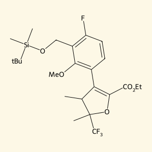 CCOC(=O)C1=C(c2ccc(F)c(CO[Si](C)(C)C(C)(C)C)c2OC)C(C)C(C)(C(F)(F)F)O1